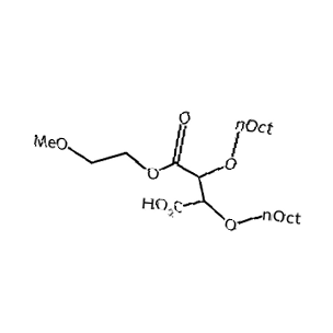 CCCCCCCCOC(C(=O)O)C(OCCCCCCCC)C(=O)OCCOC